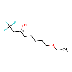 CCOCCCCC[C@@H](O)CC(F)(F)F